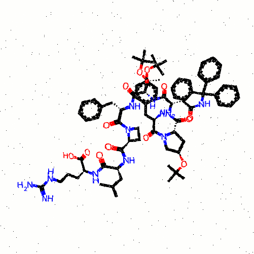 CC(C)C[C@H](NC(=O)[C@@H]1CCN1C(=O)[C@H](Cc1ccccc1)NC(=O)[C@@H](NC(=O)[C@H](CC(=O)NC(c1ccccc1)(c1ccccc1)c1ccccc1)NC(=O)[C@@H]1C[C@@H](OC(C)(C)C)CN1C(=O)[C@H](N)Cc1ccc(OC(C)(C)C)cc1)[C@@H](C)OC(C)(C)C)C(=O)N[C@@H](CCCNC(=N)N)C(=O)O